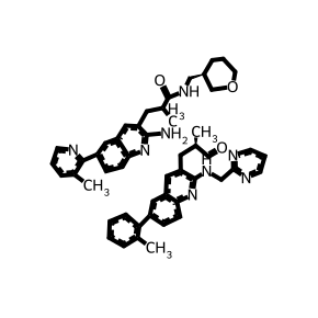 Cc1ccccc1-c1ccc2nc(NCc3ncccn3)c(C[C@@H](C)C=O)cc2c1.Cc1cccnc1-c1ccc2nc(N)c(CC(C)C(=O)NC[C@H]3CCCOC3)cc2c1